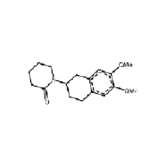 COc1cc2c(cc1OC)CC(N1CCCCC1=O)CC2